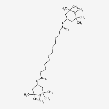 CN1C(C)(C)CC(OC(=O)CCCCCCCCCCCC(=O)OC2CC(C)(C)N(C)C(C)(C)C2)CC1(C)C